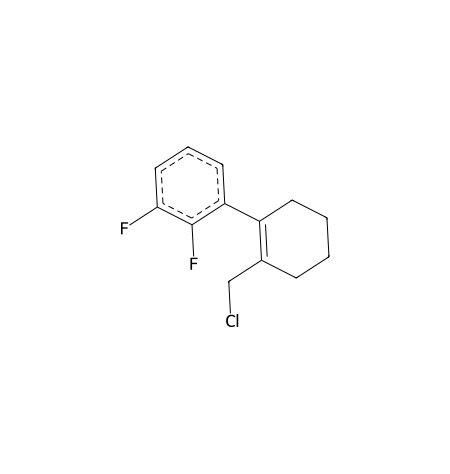 Fc1cccc(C2=C(CCl)CCCC2)c1F